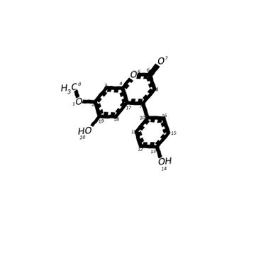 COc1cc2oc(=O)cc(-c3ccc(O)cc3)c2cc1O